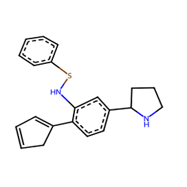 C1=CCC(c2ccc(C3CCCN3)cc2NSc2ccccc2)=C1